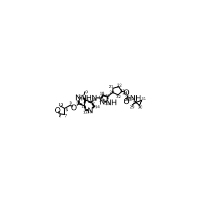 Cn1nc(OCC2CCOC2)c2cncc(Nc3cc(C4CCC(OC(=O)NC5(C)CC5)C4)[nH]n3)c21